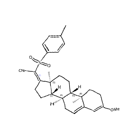 [C-]#[N+]/C(=C1\CC[C@H]2[C@@H]3CC=C4C=C(OC)CC[C@]4(C)[C@H]3CC[C@]12C)S(=O)(=O)c1ccc(C)cc1